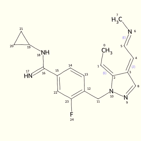 C\C=c1/c(=C\C=N\C)cnn1Cc1ccc(C(=N)NC2CC2)cc1F